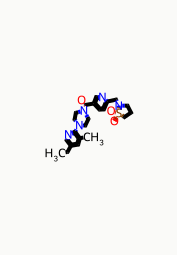 CCc1cnc(N2CCN(C(=O)c3ccc(CN4CCCS4(=O)=O)nc3)CC2)c(C)c1